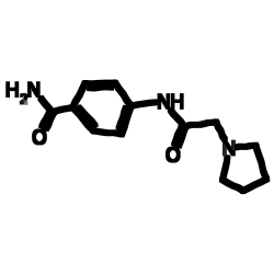 NC(=O)c1ccc(NC(=O)CN2CCCC2)cc1